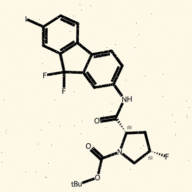 CC(C)(C)OC(=O)N1C[C@@H](F)C[C@H]1C(=O)Nc1ccc2c(c1)C(F)(F)c1cc(I)ccc1-2